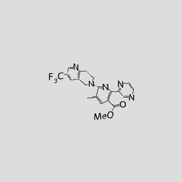 COC(=O)c1cc(C)c(N2CCc3ncc(C(F)(F)F)cc3C2)nc1-c1cnccn1